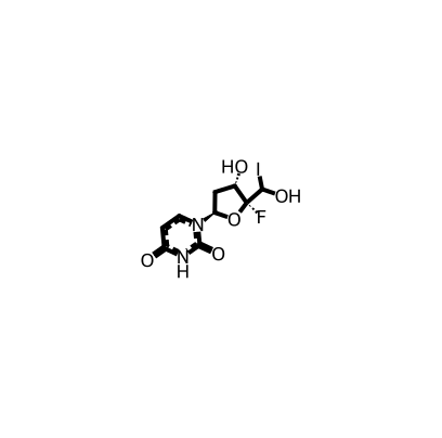 O=c1ccn([C@H]2C[C@H](O)[C@@](F)(C(O)I)O2)c(=O)[nH]1